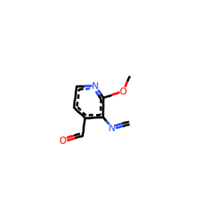 C=Nc1c(C=O)ccnc1OC